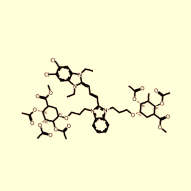 CCN1C(=CC=Cc2n(CCCO[C@@H]3CC(C(=O)OC)[C@@H](OC(C)=O)[C@@H](OC(C)=O)C3OC(C)=O)c3ccccc3[n+]2CCCO[C@H]2CC(C(=O)OC)[C@H](OC(C)=O)C(C)[C@H]2OC(C)=O)N(CC)c2cc(Cl)c(Cl)cc21